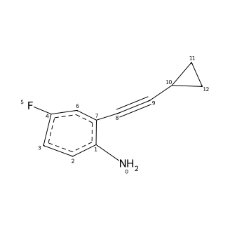 Nc1ccc(F)cc1C#CC1CC1